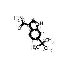 CC(C)(C)c1ccc2c(C(N)=O)c[nH]c2c1